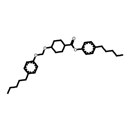 CCCCCc1ccc(OCOC2CCC(C(=O)Oc3ccc(CCCCC)cc3)CC2)cc1